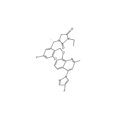 CCN1C(=O)CN([C@@H](C)c2cc(F)cc(Cl)c2COc2cccc3c(-n4cc(F)cn4)cc(C)nc23)C1=O